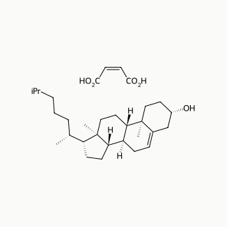 CC(C)CCC[C@@H](C)[C@H]1CC[C@H]2[C@@H]3CC=C4C[C@@H](O)CC[C@]4(C)[C@H]3CC[C@]12C.O=C(O)/C=C\C(=O)O